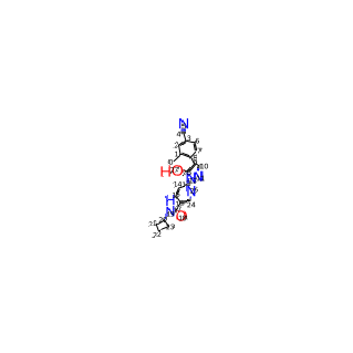 Cc1cc(C#N)ccc1-c1cnn(-c2ccc(C(=O)NC3CCC3)cn2)c1O